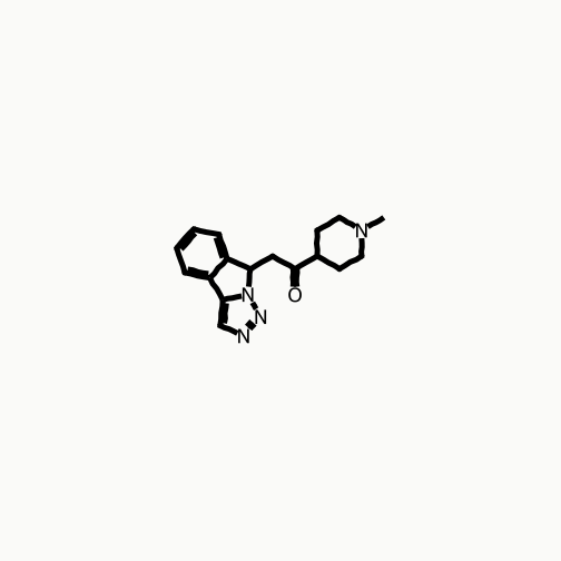 CN1CCC(C(=O)CC2c3ccccc3-c3cnnn32)CC1